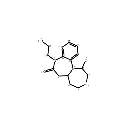 O=C1CC2CCOCC(Cl)N2c2cccnc2N1CCO